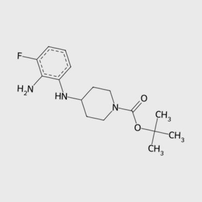 CC(C)(C)OC(=O)N1CCC(Nc2cccc(F)c2N)CC1